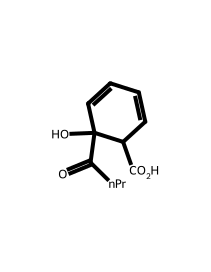 CCCC(=O)C1(O)C=CC=CC1C(=O)O